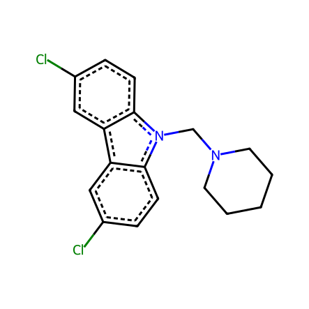 Clc1ccc2c(c1)c1cc(Cl)ccc1n2CN1CCCCC1